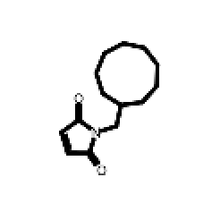 O=C1C=CC(=O)N1CC1CCCCCCCC1